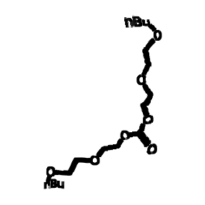 CCCCOCCOCCOC(=O)OCCOCCOCCCC